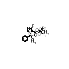 CCCC(C)(C)OC(=O)c1c(F)ncn1[C@H](C)c1ccccc1